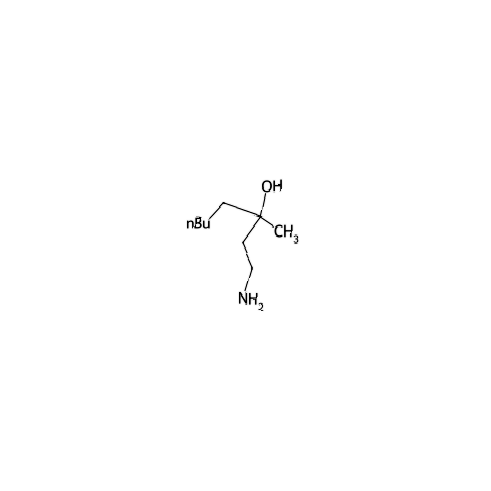 CCCCCC(C)(O)CCN